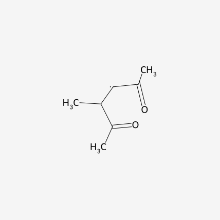 CC(=O)[CH]C(C)C(C)=O